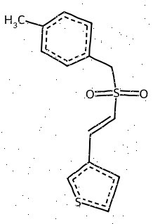 Cc1ccc(CS(=O)(=O)C=Cc2ccsc2)cc1